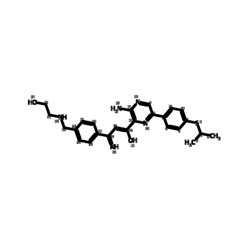 CC(C)Sc1ccc(-c2cnc(N)c(/C(O)=C/C(=N)c3ccc(CNCCO)cc3)n2)cc1